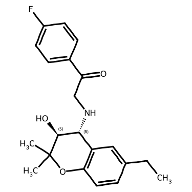 CCc1ccc2c(c1)[C@@H](NCC(=O)c1ccc(F)cc1)[C@H](O)C(C)(C)O2